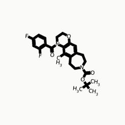 Cc1c2c(cc3c1N(C(=O)c1ccc(F)cc1F)CCO3)CCN(C(=O)OC(C)(C)C)CC2